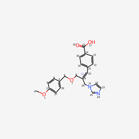 COc1ccc(COC/C(=C\c2ccc(C(=O)O)cc2)Cn2ccnc2)cc1